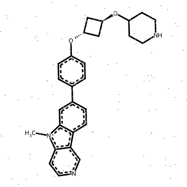 Cn1c2ccncc2c2ccc(-c3ccc(O[C@H]4C[C@H](OC5CCNCC5)C4)cc3)cc21